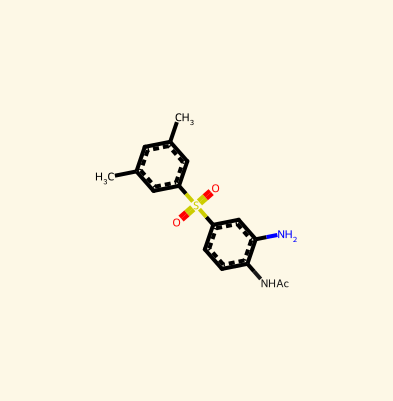 CC(=O)Nc1ccc(S(=O)(=O)c2cc(C)cc(C)c2)cc1N